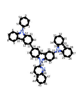 c1ccc(-n2c3ccccc3c3cc(-c4ccc5c(c4)c4cc(-n6c7ccccc7c7ccccc76)ccc4n5-c4ccc5ccccc5n4)ccc32)cc1